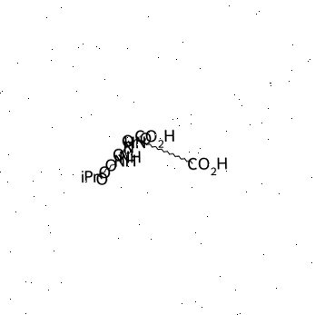 CC(C)C(=O)COCCOCCNC(=O)NC1CCN(C(=O)CC[C@H](NC(=O)CCCCCCCCCCCCCCCCC(=O)O)C(=O)O)CC1